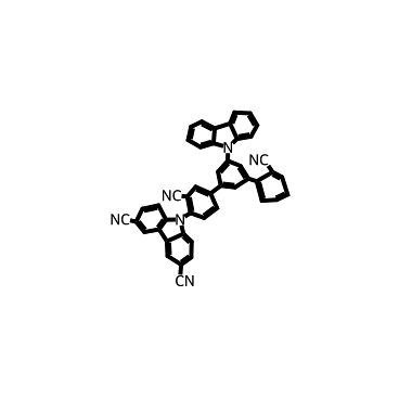 N#Cc1ccc2c(c1)c1cc(C#N)ccc1n2-c1ccc(-c2cc(-c3ccccc3C#N)cc(-n3c4ccccc4c4ccccc43)c2)cc1C#N